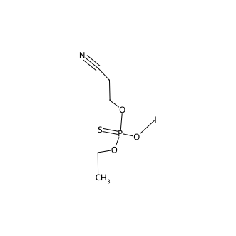 CCOP(=S)(OI)OCCC#N